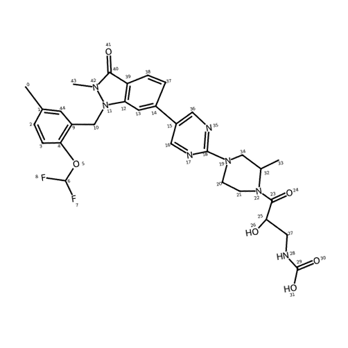 Cc1ccc(OC(F)F)c(Cn2c3cc(-c4cnc(N5CCN(C(=O)C(O)CNC(=O)O)C(C)C5)nc4)ccc3c(=O)n2C)c1